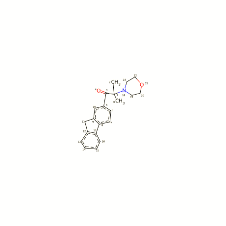 CC(C)(C(=O)c1ccc2c(c1)Cc1ccccc1-2)N1CCOCC1